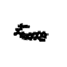 CSC(C)(C)CN(C)C(=O)c1cn2c(nc3ccc(CN(C[C@H]4CCCO4)C(=O)OC(C)(C)C)cc32)s1